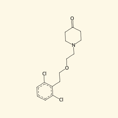 O=C1CCN(CCOCCc2c(Cl)cccc2Cl)CC1